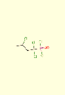 CC(Cl)CC(Cl)(Cl)P(=O)(Cl)Cl